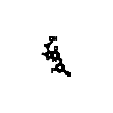 Cc1sc2nc(Cc3cc(F)cc(C#N)c3)cc(=O)n2c1[C@@H]1C[C@H]1CO